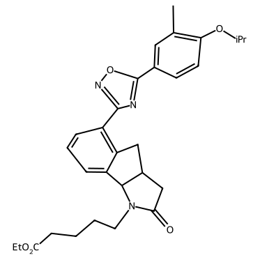 CCOC(=O)CCCCN1C(=O)CC2Cc3c(-c4noc(-c5ccc(OC(C)C)c(C)c5)n4)cccc3C21